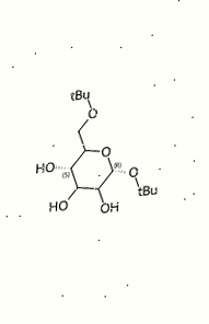 CC(C)(C)OCC1O[C@H](OC(C)(C)C)C(O)C(O)[C@@H]1O